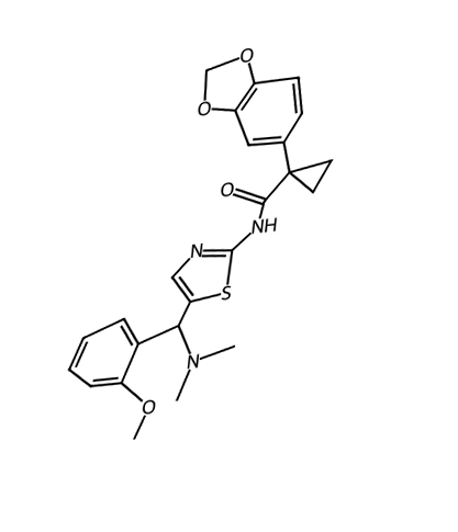 COc1ccccc1C(c1cnc(NC(=O)C2(c3ccc4c(c3)OCO4)CC2)s1)N(C)C